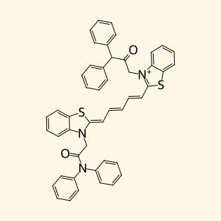 O=C(C[n+]1c(/C=C/C=C/C=C2\Sc3ccccc3N2CC(=O)N(c2ccccc2)c2ccccc2)sc2ccccc21)C(c1ccccc1)c1ccccc1